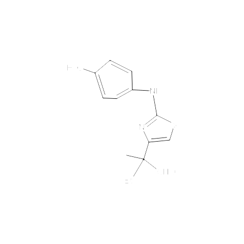 CCC(C=O)(CC)c1csc(Nc2ccc(C)cc2)n1